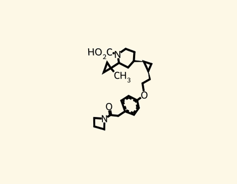 CC1(C2CC([C@H]3C[C@H]3CCOc3ccc(CC(=O)N4CCC4)cc3)CCN2C(=O)O)CC1